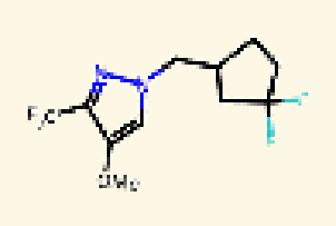 COc1cn(CC2CCC(F)(F)C2)nc1C(F)(F)F